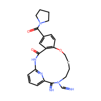 N=CN1CCCCOc2ccc(C(=O)N3CCCC3)cc2C(=O)Nc2cccc(n2)C1=N